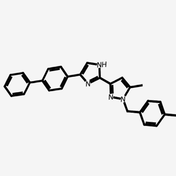 Cc1ccc(Cn2nc(-c3nc(-c4ccc(-c5ccccc5)cc4)c[nH]3)cc2C)cc1